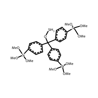 CO[Si](OC)(OC)c1ccc(C(O[SiH3])(c2ccc([Si](OC)(OC)OC)cc2)c2ccc([Si](OC)(OC)OC)cc2)cc1